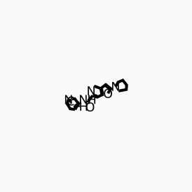 O=C(N[C@H]1CN2CCC1CC2)c1cc2oc(N3CCCCC3)cc2cn1